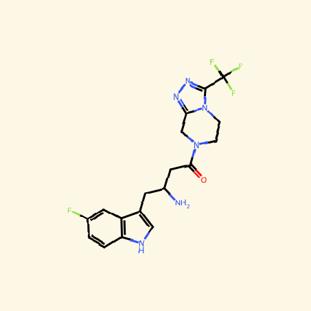 NC(CC(=O)N1CCn2c(nnc2C(F)(F)F)C1)Cc1c[nH]c2ccc(F)cc12